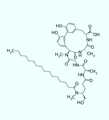 CCCCCCCCCCCCCCCC(=O)N(C)[C@H](CO)CCC(=O)N[C@H](C)C(=O)NCC(=O)N(C)[C@@H]1C(=O)N[C@@H](C)C(=O)N[C@H](C(=O)O)Cc2ccc(O)c(c2)-c2cc1ccc2O